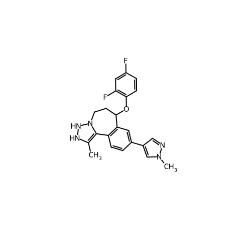 CC1=C2c3ccc(-c4cnn(C)c4)cc3C(Oc3ccc(F)cc3F)CCN2NN1